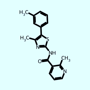 Cc1cccc(-c2sc(NC(=O)c3cccnc3C)nc2C)c1